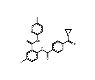 Cc1ccc(NC(=O)c2cc(O)ccc2NC(=O)c2ccc(C(=N)N3CC3)cc2)nc1